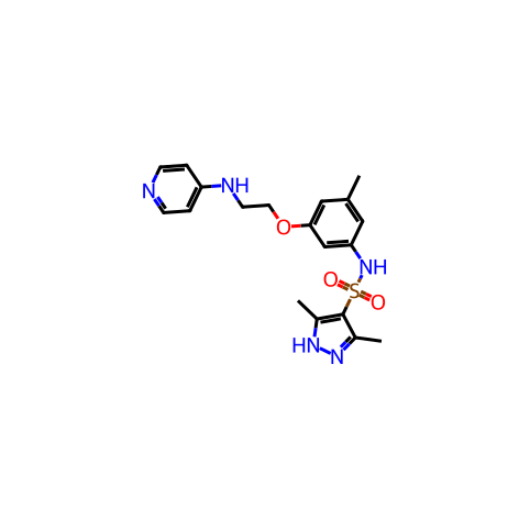 Cc1cc(NS(=O)(=O)c2c(C)n[nH]c2C)cc(OCCNc2ccncc2)c1